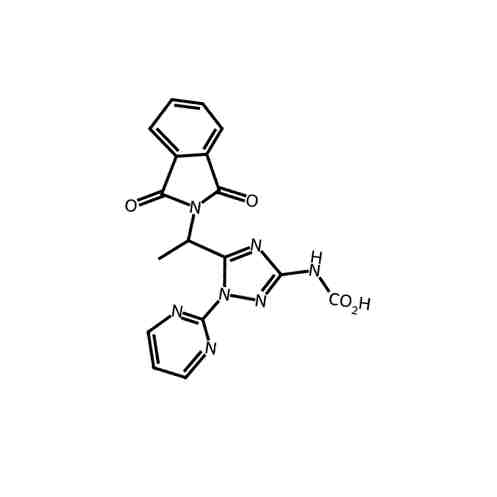 CC(c1nc(NC(=O)O)nn1-c1ncccn1)N1C(=O)c2ccccc2C1=O